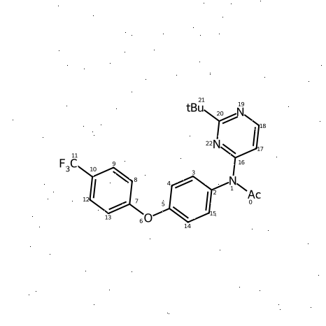 CC(=O)N(c1ccc(Oc2ccc(C(F)(F)F)cc2)cc1)c1ccnc(C(C)(C)C)n1